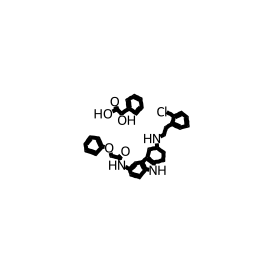 O=C(COc1ccccc1)Nc1ccc2[nH]c3c(c2c1)CC(NCCc1ccccc1Cl)CC3.O=C(O)C(O)c1ccccc1